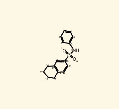 O=S(=O)(Nc1ccccc1)c1ccc2c(c1)CCCC2